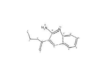 CCCC(=O)c1cc2ccccc2nc1N